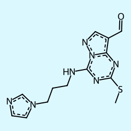 CSc1nc(NCCCn2ccnc2)n2ncc(C=O)c2n1